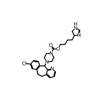 O=C(OCCCCC1CNC=N1)N1CCN(C2c3ccc(Cl)cc3CCc3cccnc32)CC1